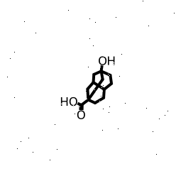 O=C(O)C12CCC3CCC(O)(CC3C1)C2